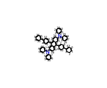 C1=CCCC(C2=CC=C(c3c4cc(N(c5ccccc5)c5ccccc5)ccc4c(-c4ccc(-c5ccccc5)cc4)c4cc(N(c5ccccc5)c5ccccc5)ccc34)CC2)=C1